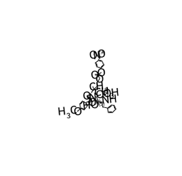 COc1ccc(S(=O)(=O)N(C[C@@H](O)[C@H](Cc2ccccc2)NC(=O)O)CC(C)(C)CCOC(=O)Oc2ccc([N+](=O)[O-])cc2)cc1